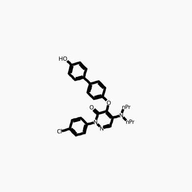 CCCN(CCC)c1cnn(-c2ccc(Cl)cc2)c(=O)c1Oc1ccc(-c2ccc(O)cc2)cc1